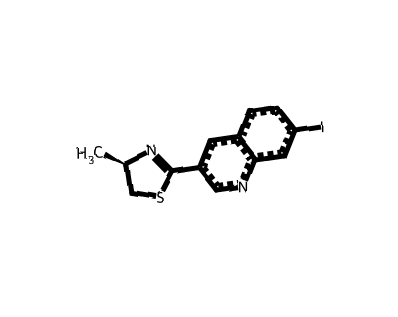 C[C@@H]1CSC(c2cnc3cc(I)ccc3c2)=N1